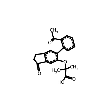 CC(=O)c1ccccc1-c1cc2c(cc1OC(C)(C)C(=O)O)C(=O)CC2